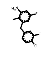 Cc1c(N)cc(F)cc1Cc1ccc(Cl)c(F)c1